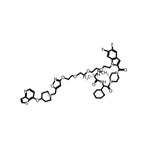 CN[C@@H](C)C(=O)NC(C(=O)N1CCN(C(=O)c2cc3cc(F)c(F)cc3n2CCOCCOCCOCCOc2cc(CN3CCC(Oc4ccnc5ccsc45)CC3)on2)CC1)C1CCCCC1